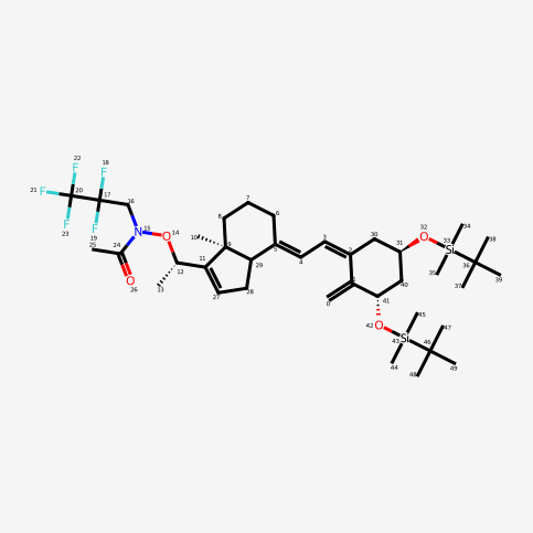 C=C1/C(=C\C=C2/CCC[C@]3(C)C([C@H](C)ON(CC(F)(F)C(F)(F)F)C(C)=O)=CCC23)C[C@@H](O[Si](C)(C)C(C)(C)C)C[C@@H]1O[Si](C)(C)C(C)(C)C